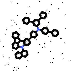 CC12c3ccccc3-c3cccc(c31)N(c1cccc3ccccc13)c1ccc(-c3ccc(N(c4ccc(-c5ccccc5)cc4)c4cc(-c5ccccc5)cc(-c5ccccc5)c4)cc3)cc12